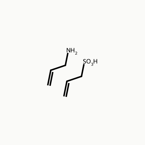 C=CCN.C=CCS(=O)(=O)O